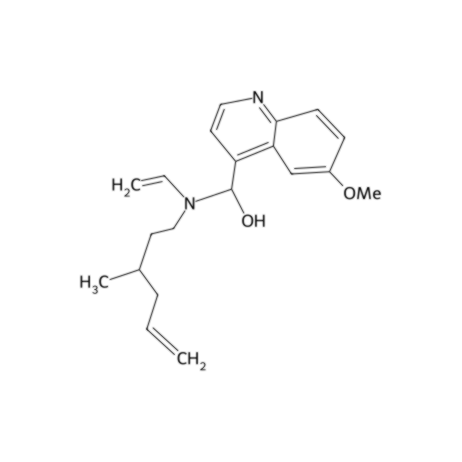 C=CCC(C)CCN(C=C)C(O)c1ccnc2ccc(OC)cc12